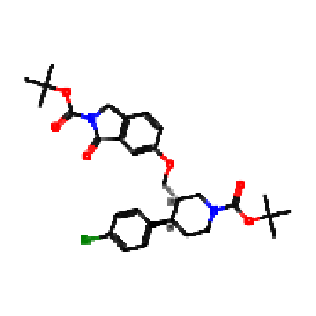 CC(C)(C)OC(=O)N1CC[C@@H](c2ccc(Br)cc2)[C@H](COc2ccc3c(c2)C(=O)N(C(=O)OC(C)(C)C)C3)C1